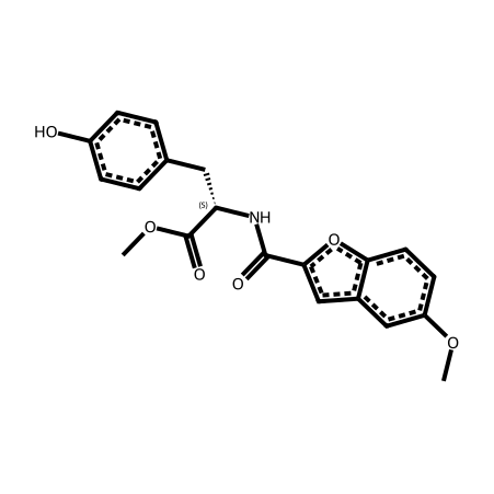 COC(=O)[C@H](Cc1ccc(O)cc1)NC(=O)c1cc2cc(OC)ccc2o1